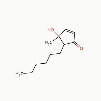 CCCCCCC1C(=O)C=CC1(C)O